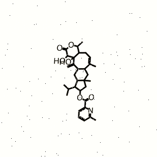 C=C1C2CC3C(C(C)C)C(OC(=O)c4cccc(C)n4)CC3(C)CC2C(C)=CCC2C(C)OC(=O)C(O)C12O